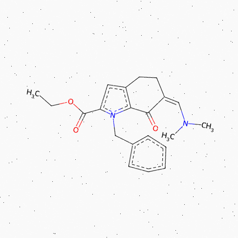 CCOC(=O)c1cc2c(n1Cc1ccccc1)C(=O)C(=CN(C)C)CC2